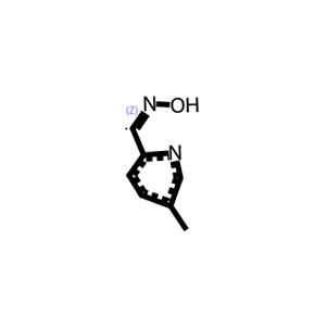 Cc1ccc(/[C]=N\O)nc1